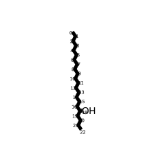 CCCCCCCCCCCCCCCCCC(O)CCCC